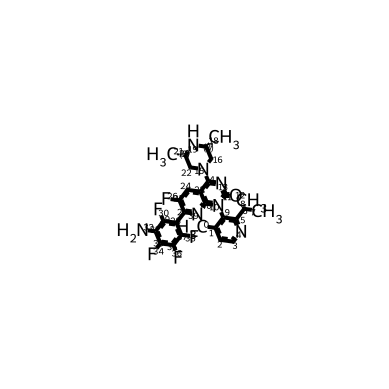 Cc1ccnc(C(C)C)c1-n1c(=O)nc(N2C[C@@H](C)N[C@@H](C)C2)c2cc(F)c(-c3c(F)c(N)c(F)c(F)c3F)nc21